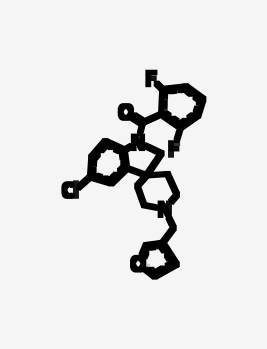 O=C(c1c(F)cccc1F)N1CC2(CCN(Cc3ccoc3)CC2)c2cc(Cl)ccc21